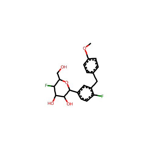 COc1ccc(Cc2cc(C3OC(CO)C(F)C(O)C3O)ccc2F)cc1